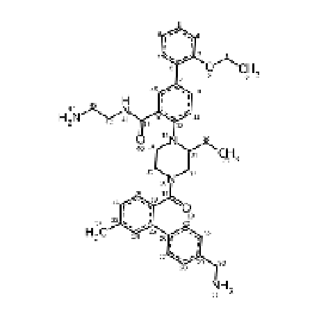 CCOc1ccccc1-c1ccc(N2CCN(C(=O)c3ccc(C)cc3-c3ccc(CN)cc3)CC2CC)c(C(=O)NCCN)c1